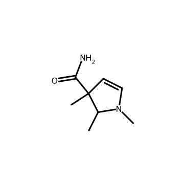 CC1N(C)C=CC1(C)C(N)=O